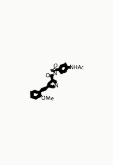 COc1ccccc1C#Cc1cncc(C(=O)N=S(C)(=O)c2ccc(NC(C)=O)cc2)c1